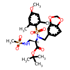 COc1cc(C)c(S(=O)(=O)N(Cc2ccc3c(c2)OCO3)[C@H](CNS(C)(=O)=O)C(=O)OC(C)(C)C)c(C)c1